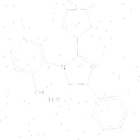 Cc1ccccc1N1C(C2CCCC2)OC(c2ccccc2)[C@@H]1C